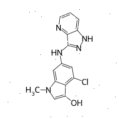 Cn1cc(O)c2c(Cl)cc(Nc3n[nH]c4cccnc34)cc21